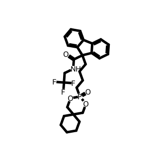 O=C(NCC(F)(F)F)C1(CCCCP2(=O)OCC3(CCCCC3)CO2)c2ccccc2-c2ccccc21